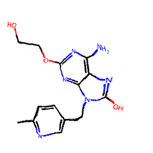 Cc1ccc(Cn2c(O)nc3c(N)nc(OCCO)nc32)cn1